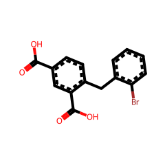 O=C(O)c1ccc(Cc2ccccc2Br)c(C(=O)O)c1